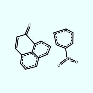 O=C1C=Cc2cccc3cccc1c23.O=[SH](=O)c1ccccc1